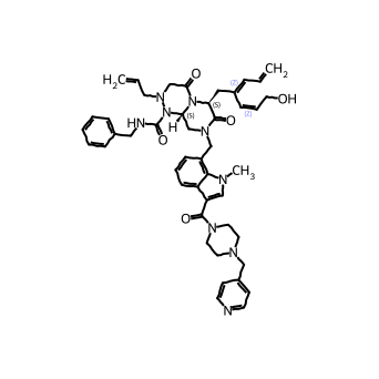 C=C/C=C(\C=C/CO)C[C@H]1C(=O)N(Cc2cccc3c(C(=O)N4CCN(Cc5ccncc5)CC4)cn(C)c23)C[C@H]2N1C(=O)CN(CC=C)N2C(=O)NCc1ccccc1